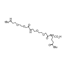 CC(C)(C)NCCOCCOCC(=O)NCCOCCOCC(=O)N[C@@H](CCC(=O)C(C)(C)C)C(=O)O